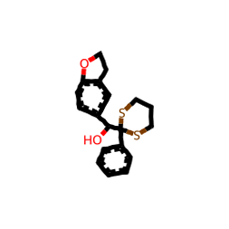 OC(c1ccc2c(c1)CCO2)C1(c2ccccc2)SCCCS1